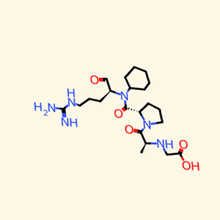 C[C@H](NCC(=O)O)C(=O)N1CCC[C@H]1C(=O)N(C1CCCCC1)[C@H](C=O)CCCNC(=N)N